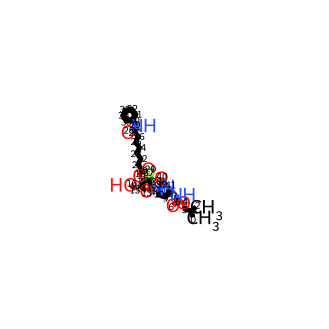 CC(C)COC(=O)Nc1ccn([C@@H]2O[C@H](CO)[C@@H](OC(=O)CCCCCCC(=O)Nc3ccccc3)C2(F)F)c(=O)n1